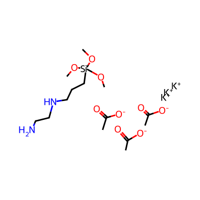 CC(=O)[O-].CC(=O)[O-].CC(=O)[O-].CO[Si](CCCNCCN)(OC)OC.[K+].[K+].[K+]